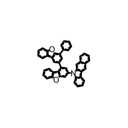 c1ccc(-c2cc(-c3cc(-n4c5ccccc5c5cc6ccccc6cc54)cc4oc5ccccc5c34)cc3c2oc2ccccc23)cc1